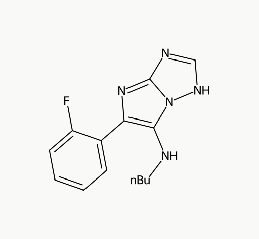 CCCCNc1c(-c2ccccc2F)nc2nc[nH]n12